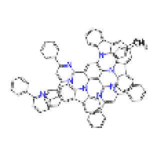 Cc1ccc2c(c1)c1ccccc1n2-c1cc(-c2nc(-c3ccccc3)cc(-c3ccccc3)n2)c(-n2c3ccccc3c3cc(-c4cccc(-c5ccccc5)n4)ccc32)c(-c2nc(-c3ccccc3)cc(-c3ccccc3)n2)c1-n1c2ccccc2c2cc(C)ccc21